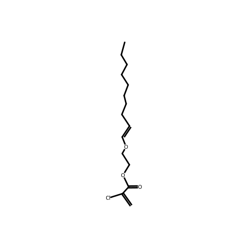 C=C(Cl)C(=O)OCCOC=CCCCCCCCC